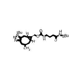 CC1Cc2nnn(C(C)(C)C)c2C[C@@H]2[C@H](COC(=O)NCCCC(=O)NC(C)(C)C)[C@@H]2C1